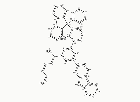 C=C/C=C\C=C(/C)c1cc(-c2cccc(C3(c4ccccc4CC)c4ccccc4-c4ccccc43)c2CC)nc(-c2ccc3c(c2)oc2ccccc23)n1